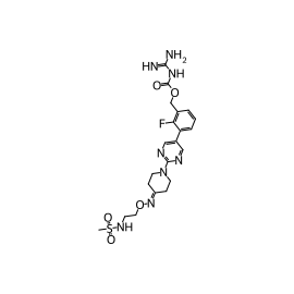 CS(=O)(=O)NCCON=C1CCN(c2ncc(-c3cccc(COC(=O)NC(=N)N)c3F)cn2)CC1